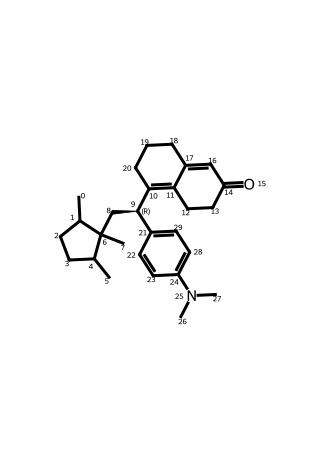 CC1CCC(C)C1(C)C[C@@H](C1=C2CCC(=O)C=C2CCC1)c1ccc(N(C)C)cc1